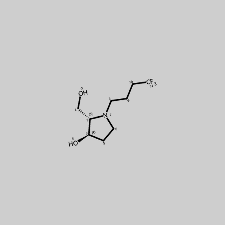 OC[C@H]1[C@H](O)CCN1CCCC(F)(F)F